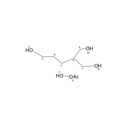 CC(=O)OO.OCCCC(CO)CO